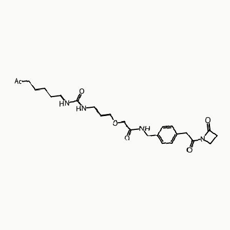 CC(=O)CCCCCNC(=O)NCCCOCC(=O)NCc1ccc(CC(=O)N2CCC2=O)cc1